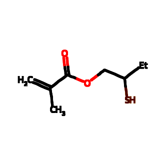 C=C(C)C(=O)OCC(S)CC